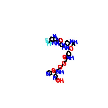 CN1C(O)C[C@H](C(=O)NCCOCCOCCC(=O)N[C@H]2CC[C@@H](C(=O)N[C@@H]3C[C@H](NC(C)(C)C)CC[C@@H]3N3CC[C@H](Nc4ncnc5ccc(C(F)(F)F)cc45)C3=O)CC2)[C@H]1c1cccnc1